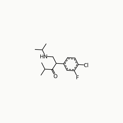 CC(C)NCC(C(=O)C(C)C)c1ccc(Cl)c(F)c1